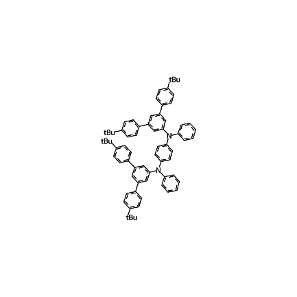 CC(C)(C)c1ccc(-c2cc(-c3ccc(C(C)(C)C)cc3)cc(N(c3ccccc3)c3ccc(N(c4ccccc4)c4cc(-c5ccc(C(C)(C)C)cc5)cc(-c5ccc(C(C)(C)C)cc5)c4)cc3)c2)cc1